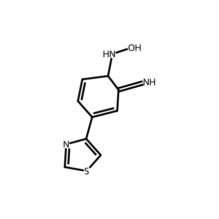 N=C1C=C(c2cscn2)C=CC1NO